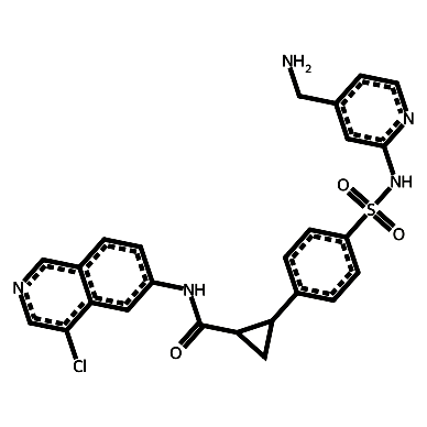 NCc1ccnc(NS(=O)(=O)c2ccc(C3CC3C(=O)Nc3ccc4cncc(Cl)c4c3)cc2)c1